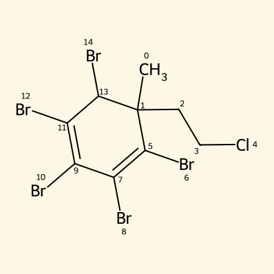 CC1(CCCl)C(Br)=C(Br)C(Br)=C(Br)C1Br